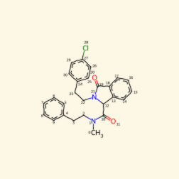 CN(CCc1ccccc1)C(=O)C1c2ccccc2C(=O)N1CCc1ccc(Cl)cc1